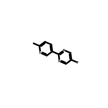 Cc1ccc(-c2ncc(F)cn2)[c]n1